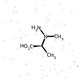 C[C@@H](C(=O)O)N(C)N